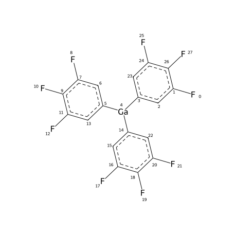 Fc1c[c]([Ga]([c]2cc(F)c(F)c(F)c2)[c]2cc(F)c(F)c(F)c2)cc(F)c1F